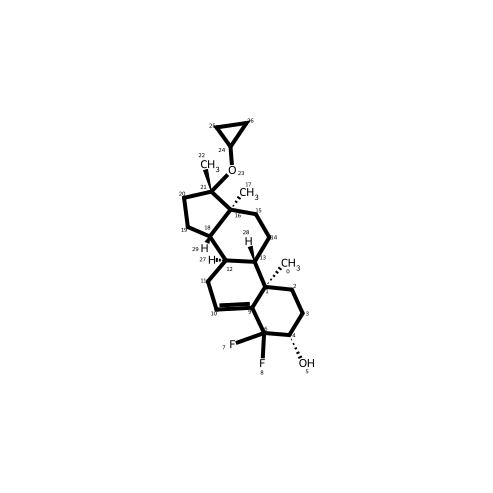 C[C@]12CC[C@H](O)C(F)(F)C1=CC[C@@H]1[C@@H]2CC[C@@]2(C)[C@H]1CC[C@]2(C)OC1CC1